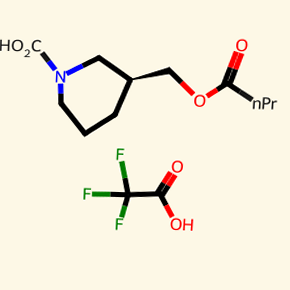 CCCC(=O)OC[C@H]1CCCN(C(=O)O)C1.O=C(O)C(F)(F)F